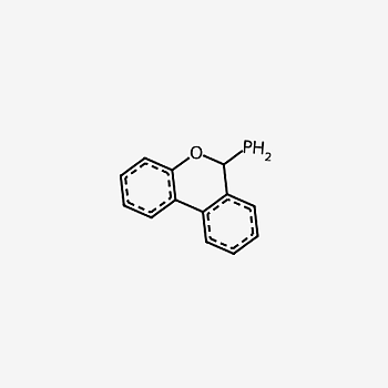 PC1Oc2ccccc2-c2ccccc21